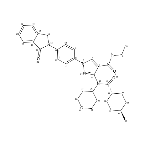 CCOC(=O)c1cn(-c2ccc(N3Cc4ccccc4C3=O)cc2)nc1N(C(=O)[C@H]1CC[C@H](C)CC1)C1CCOCC1